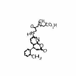 Cc1ccccc1-c1cc(=O)oc2nc(NCC(=O)N(C)CC(=O)O)ccc12